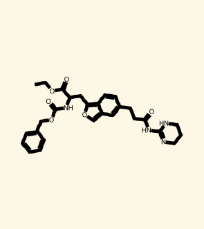 CCOC(=O)C(Cc1occ2cc(CCC(=O)NC3=NCCCN3)ccc12)NC(=O)OCc1ccccc1